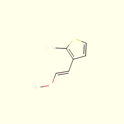 CCOC=Cc1ccsc1[N+](=O)[O-]